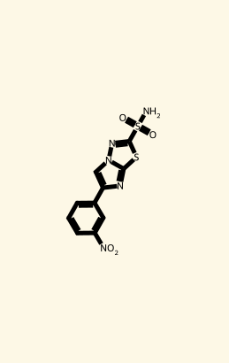 NS(=O)(=O)c1nn2cc(-c3cccc([N+](=O)[O-])c3)nc2s1